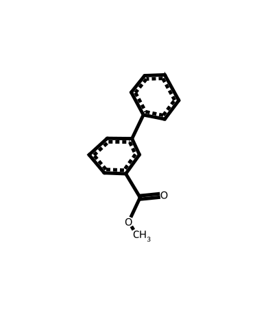 COC(=O)c1cccc(-c2cc[c]cc2)c1